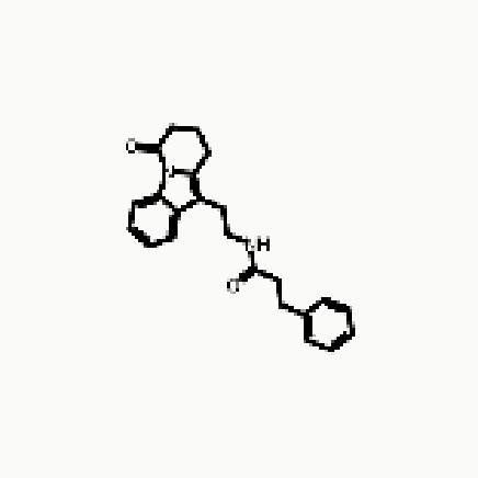 O=C(CCc1ccccc1)NCCc1c2n(c3ccccc13)C(=O)CCC2